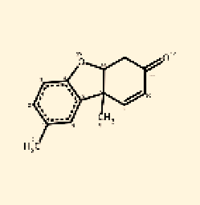 Cc1ccc2c(c1)C1(C)C=CC(=O)CC1O2